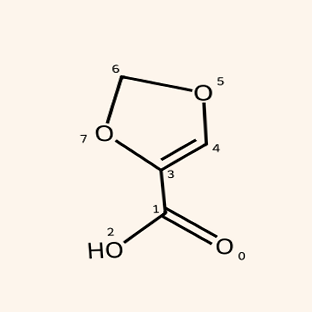 O=C(O)C1=COCO1